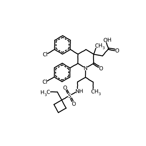 CCC(CNS(=O)(=O)C1(CC)CCC1)N1C(=O)C(C)(CC(=O)O)CC(c2cccc(Cl)c2)C1c1ccc(Cl)cc1